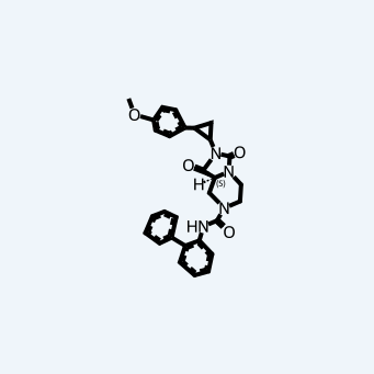 COc1ccc(C2CC2N2C(=O)[C@@H]3CN(C(=O)Nc4ccccc4-c4ccccc4)CCN3C2=O)cc1